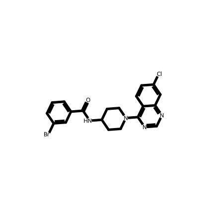 O=C(NC1CCN(c2ncnc3cc(Cl)ccc23)CC1)c1cccc(Br)c1